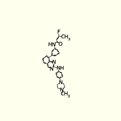 C/C(F)=C\C(=O)Nc1cccc(-c2cccc3cnc(Nc4ccc(N5CCN(C)CC5)cc4)nc23)c1